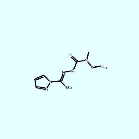 CN(SC(Cl)(Cl)Cl)C(=O)ON=C(n1cccn1)C(C)(C)C